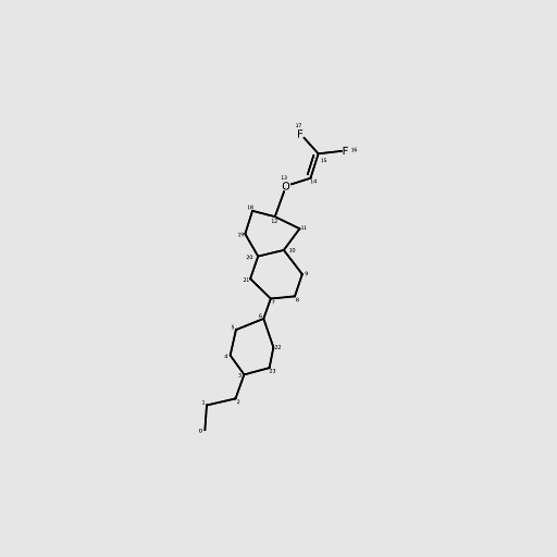 CCCC1CCC(C2CCC3CC(OC=C(F)F)CCC3C2)CC1